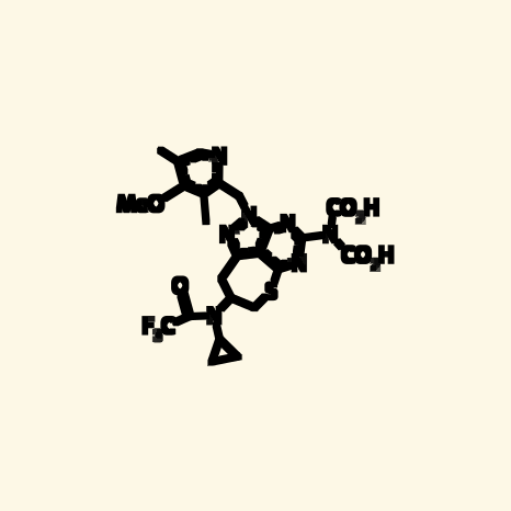 COc1c(C)cnc(Cn2nc3c4c(nc(N(C(=O)O)C(=O)O)nc42)SCC(N(C(=O)C(F)(F)F)C2CC2)C3)c1C